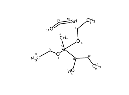 CCO[Si](C)(OCC)C(O)CC.N=C=O